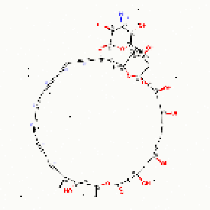 C[C@@H]1[C@H](O)[C@@H](C)\C=C/C=C\C=C/C=C\C=C/C=C\C=C/[C@H](O[C@@H]2O[C@H](C)[C@@H](O)[C@H](N)[C@@H]2O)C[C@@H]2O[C@](O)(C[C@@H](O)C[C@@H](O)CCC[C@@H](O)C[C@@H](O)CC(=O)O[C@H]1C)C[C@H](O)[C@H]2C(=O)O